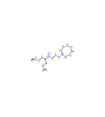 CC(C)CCC(CCC(C)C)NCCCN1CCCCCCC1